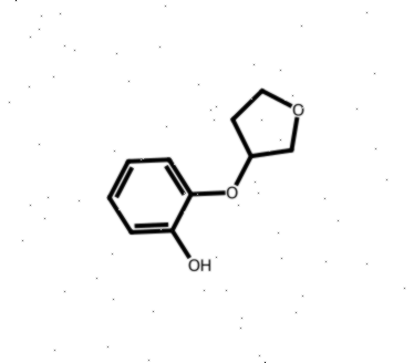 Oc1ccccc1OC1CCOC1